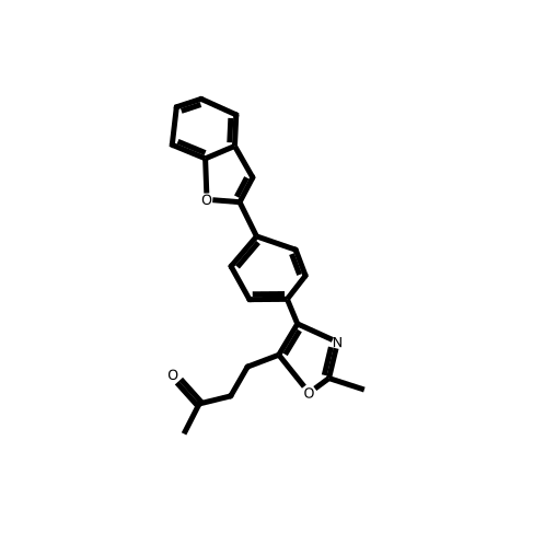 CC(=O)CCc1oc(C)nc1-c1ccc(-c2cc3ccccc3o2)cc1